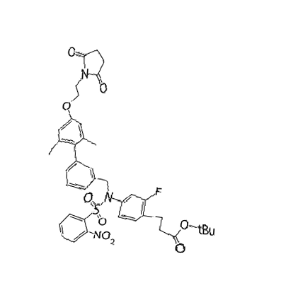 Cc1cc(OCCN2C(=O)CCC2=O)cc(C)c1-c1cccc(CN(c2ccc(CCC(=O)OC(C)(C)C)c(F)c2)S(=O)(=O)c2ccccc2[N+](=O)[O-])c1